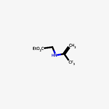 C=C(NCC(=O)OCC)C(F)(F)F